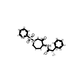 [CH2][C@H](C(=O)NC1CCCN(S(=O)(=O)c2ccccn2)CC1=O)c1ccccc1